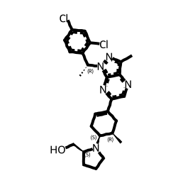 Cc1nn([C@H](C)c2ccc(Cl)cc2Cl)c2nc(C3=CC[C@H](N4CCC[C@H]4CO)[C@H](C)C3)cnc12